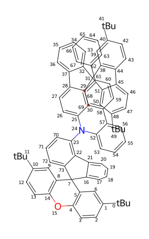 CC(C)(C)c1ccc2c(c1)C1(c3cc(C(C)(C)C)ccc3O2)c2ccccc2-c2c(N(c3ccc4c(c3)C3(c5ccccc5-4)c4cc(C(C)(C)C)ccc4-c4ccc(C(C)(C)C)cc43)c3ccccc3-c3ccc(-c4ccccc4)cc3)cccc21